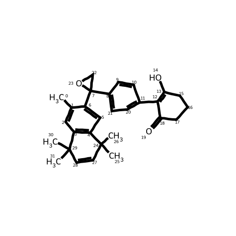 Cc1cc2c(cc1C1(c3ccc(C4=C(O)CCCC4=O)cc3)CO1)C(C)(C)C=CC2(C)C